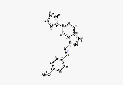 COc1ccc(/C=C/c2n[nH]c3ccc(-c4nc[nH]n4)cc23)cc1